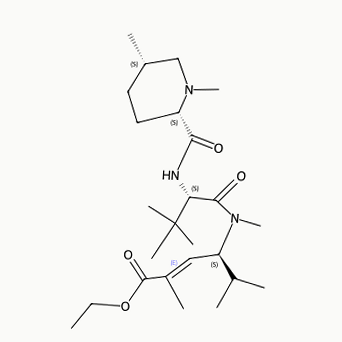 CCOC(=O)/C(C)=C/[C@H](C(C)C)N(C)C(=O)[C@@H](NC(=O)[C@@H]1CC[C@H](C)CN1C)C(C)(C)C